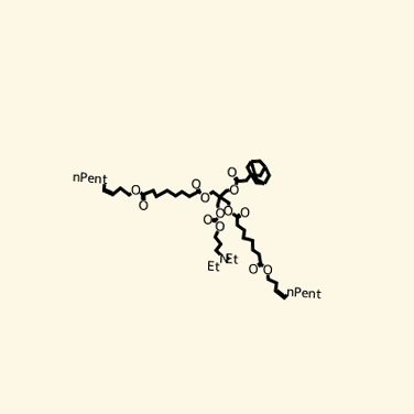 CCCCC/C=C\CCOC(=O)CCCCCCC(=O)OCC(COC(=O)CCCCCCC(=O)OCC/C=C\CCCCC)(COC(=O)CC12CC3CC(CC(C3)C1)C2)COC(=O)OCCCN(CC)CC